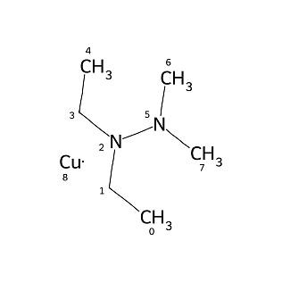 CCN(CC)N(C)C.[Cu]